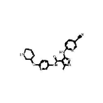 Cc1nsc(Nc2ccc(C#N)cn2)c1C(=O)Nc1ccc(OC2CCCNC2)nc1